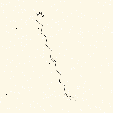 C=CCCCCC=CCCCCCCC